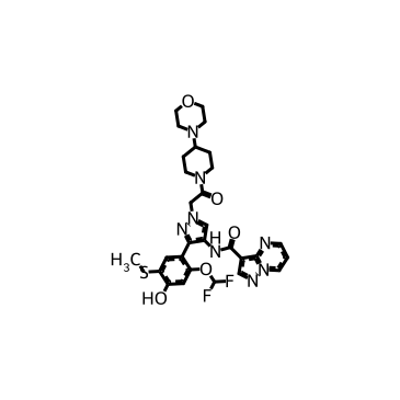 CSc1cc(-c2nn(CC(=O)N3CCC(N4CCOCC4)CC3)cc2NC(=O)c2cnn3cccnc23)c(OC(F)F)cc1O